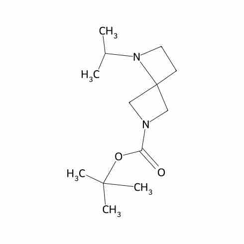 CC(C)N1CCC12CN(C(=O)OC(C)(C)C)C2